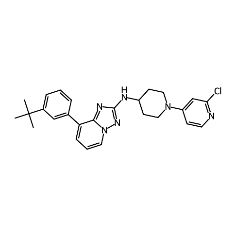 CC(C)(C)c1cccc(-c2cccn3nc(NC4CCN(c5ccnc(Cl)c5)CC4)nc23)c1